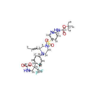 CC#C[C@H]1CN(S(=O)(=O)c2ccc(NC(=O)OC(C)(C)C)nc2)CCN1c1ccc(C2(C(F)(F)F)CNC(=O)O2)cc1